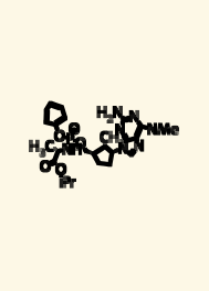 CNc1nc(N)nc2c1ncn2[C@H]1CC[C@@H](CO[P@@](=O)(N[C@@H](C)C(=O)OC(C)C)Oc2ccccc2)[C@@H]1C